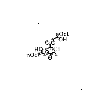 CCCCCCCCC(O)COC(=O)C(C)NC(C)C(=O)OCC(O)CCCCCCCC